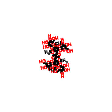 COc1cc(O[C@@H]2O[C@H](CO)[C@@H](O)[C@H](O)[C@H]2O)c(C2OCC3C(c4c(O[C@@H]5O[C@H](CO)[C@@H](O)[C@H](O)[C@H]5O)cc(OC)c(O[C@@H]5O[C@H](CO)[C@@H](O)[C@H](O)[C@H]5O)c4OC)OCC23)c(OC)c1O[C@@H]1O[C@H](CO)[C@@H](O)[C@H](O)[C@H]1O